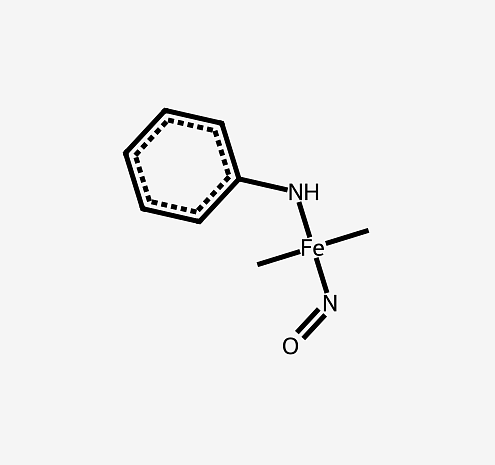 [CH3][Fe]([CH3])([N]=O)[NH]c1ccccc1